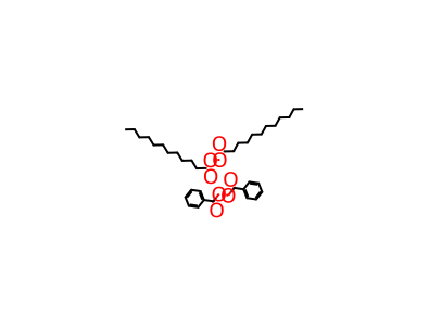 CCCCCCCCCCCC(=O)OOC(=O)CCCCCCCCCCC.O=C(OOC(=O)c1ccccc1)c1ccccc1